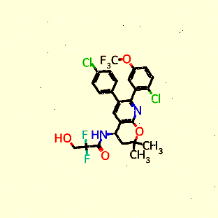 CC1(C)C[C@@H](NC(=O)C(F)(F)CO)c2cc(-c3ccc(Cl)cc3)c(-c3cc(OC(F)(F)F)ccc3Cl)nc2O1